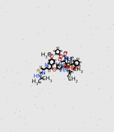 C=C[C@@H]1C[C@]1(NC(=O)[C@@H]1C[C@@H](Oc2cc(-c3csc(NC(C)C)n3)nc3cc(OC)ccc23)CN1C(=O)[C@@H](NC(=O)OC1CCCC1)C(C)(C)C)P(=O)(O)Cc1c(C)cccc1C